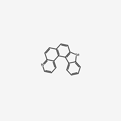 c1ccc2c(c1)[se]c1ccc3ccc4ncccc4c3c12